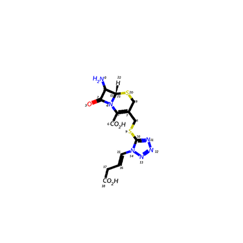 NC1C(=O)N2C(C(=O)O)=C(CSc3nnnn3C=CCC(=O)O)CS[C@@H]12